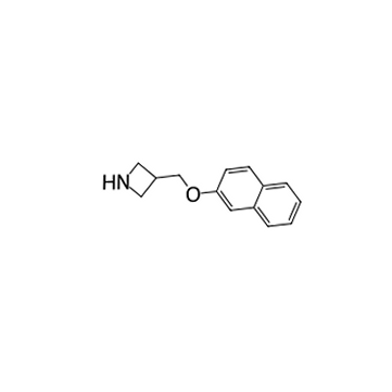 c1ccc2cc(OCC3CNC3)ccc2c1